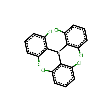 Clc1cccc(Cl)c1B(c1c(Cl)cccc1Cl)c1c(Cl)cccc1Cl